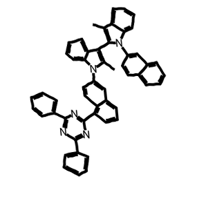 Cc1c(-c2c(C)n(-c3ccc4c(-c5nc(-c6ccccc6)nc(-c6ccccc6)n5)cccc4c3)c3ccccc23)n(-c2ccc3ccccc3c2)c2ccccc12